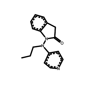 CCCN(c1ccncc1)N1C(=O)Cc2ccccc21